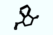 O=NC1CC[C@H](F)c2cccnc21